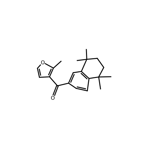 Cc1occc1C(=O)c1ccc2c(c1)C(C)(C)CCC2(C)C